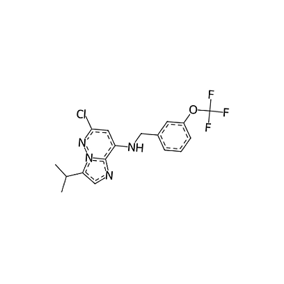 CC(C)c1cnc2c(NCc3cccc(OC(F)(F)F)c3)cc(Cl)nn12